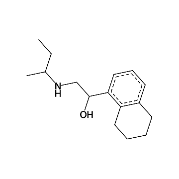 CCC(C)NCC(O)c1cccc2c1CCCC2